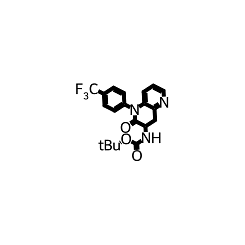 CC(C)(C)OC(=O)NC1Cc2ncccc2N(c2ccc(C(F)(F)F)cc2)C1=O